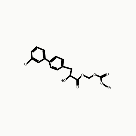 CC(C)OC(=O)OCOC(=O)C(O)Cc1ccc(-c2cccc(Cl)c2)cc1